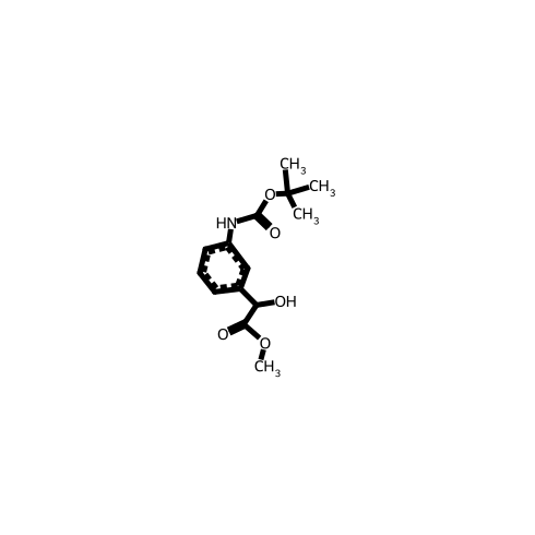 COC(=O)C(O)c1cccc(NC(=O)OC(C)(C)C)c1